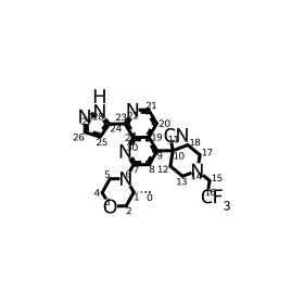 C[C@@H]1COCCN1c1cc(C2(C#N)CCN(CC(F)(F)F)CC2)c2ccnc(-c3ccn[nH]3)c2n1